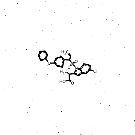 C=CC(c1ccc(Oc2ccccc2)cc1)S(=O)(=O)n1c(C(C)C(=O)O)cc2cc(Cl)ccc21